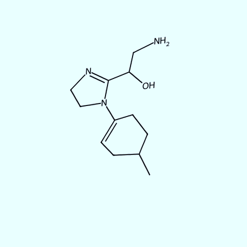 CC1CC=C(N2CCN=C2C(O)CN)CC1